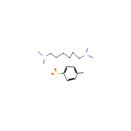 CN(C)CCCCCCN(C)C.Cc1ccc(S(=O)(=O)Cl)cc1